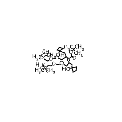 CC(C)(C)OC(=O)N(C(COCOCC[Si](C)(C)C)CC1(O)CCC1)C(COCOCC[Si](C)(C)C)CC1(O)CCC1